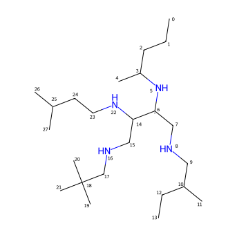 CCCC(C)N[C](CNCC(C)CC)C(CNCC(C)(C)C)NCCC(C)C